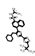 CC(NS(=O)(=O)c1ccc(-c2sc(-c3nnc(CC(C)(C)C(=O)O)o3)nc2CC2CCCCC2)c2ccccc12)C(F)(F)F